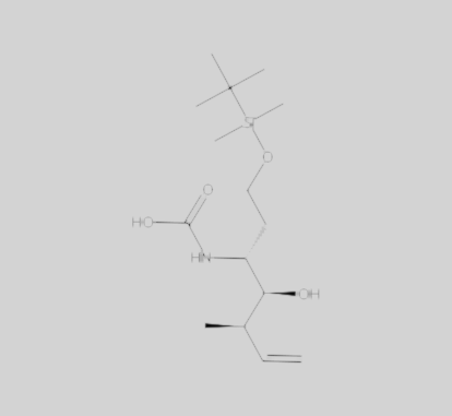 C=C[C@@H](C)[C@H](O)[C@@H](CCO[Si](C)(C)C(C)(C)C)NC(=O)O